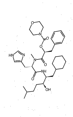 CC(C)CC[C@H](O)[C@H](CC1CCCCC1)NC(=O)[C@H](Cc1c[nH]cn1)N(C)C(=O)[C@H](Cc1ccccc1)OC(=O)N1CCOCC1